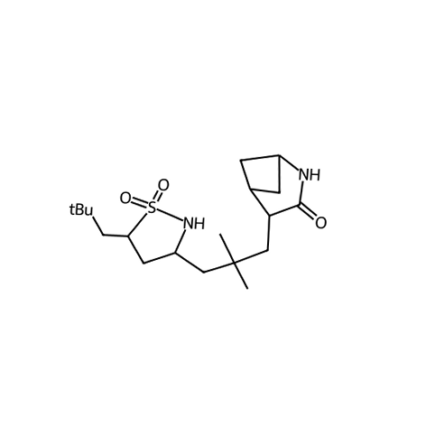 CC(C)(C)CC1CC(CC(C)(C)CC2C(=O)NC3CC2C3)NS1(=O)=O